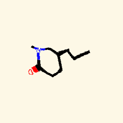 CCCC1CCC(=O)N(C)C1